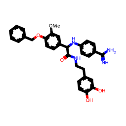 COc1cc(C(Nc2ccc(C(=N)N)cc2)C(=O)NCCc2ccc(O)c(O)c2)ccc1OCc1ccccc1